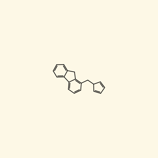 C1=CC(Cc2cccc3c2Cc2ccccc2-3)C=C1